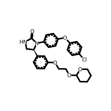 O=C1NC[C@H](c2cccc(OCCOC3CCCCO3)c2)N1c1ccc(Oc2ccc(Cl)cc2)cc1